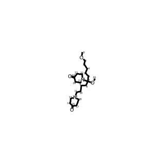 COCCCCCC(CCCCN1CCC(=O)CC1)(OC)N1CCC(=O)CC1